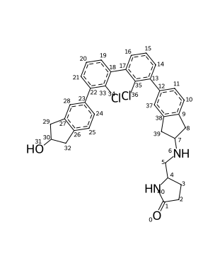 O=C1CCC(CNC2Cc3ccc(-c4cccc(-c5cccc(-c6ccc7c(c6)CC(O)C7)c5Cl)c4Cl)cc3C2)N1